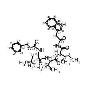 CC[C@H](C)[C@H](NC(=O)[C@@H](NC(=O)[C@H](CC(C)C)NC(=O)OCc1ccccc1)C(C)C)C(=O)NC(=O)Cc1c[nH]c2ccccc12